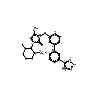 CCCCc1cn(C2C(C)CCCC2C(=O)O)c(=O)n1Cc1cc(-c2cccc(-c3nnn[nH]3)c2)ccn1